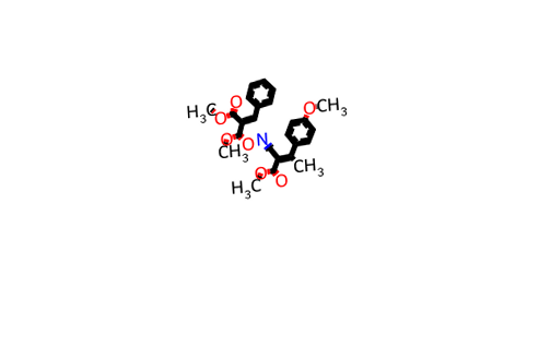 COC(=O)/C(C#N)=C(\C)c1ccc(OC)cc1.COC(=O)C(=Cc1ccccc1)C(=O)OC